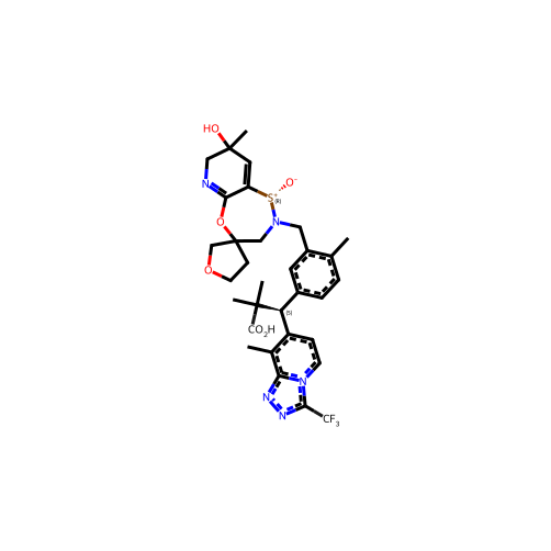 Cc1ccc([C@@H](c2ccn3c(C(F)(F)F)nnc3c2C)C(C)(C)C(=O)O)cc1CN1CC2(CCOC2)OC2=NCC(C)(O)C=C2[S@+]1[O-]